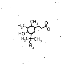 Cc1c(CCC([O])=O)cc(C(C)(C)C)c(O)c1C